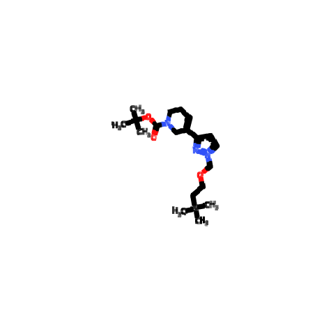 CC(C)(C)OC(=O)N1CCC=C(c2ccn(COCC[Si](C)(C)C)n2)C1